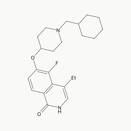 CCc1c[nH]c(=O)c2ccc(OC3CCN(CC4CCCCC4)CC3)c(F)c12